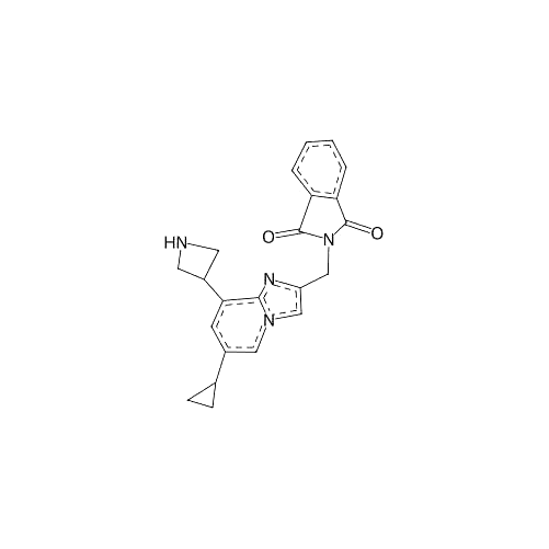 O=C1c2ccccc2C(=O)N1Cc1cn2cc(C3CC3)cc(C3CNC3)c2n1